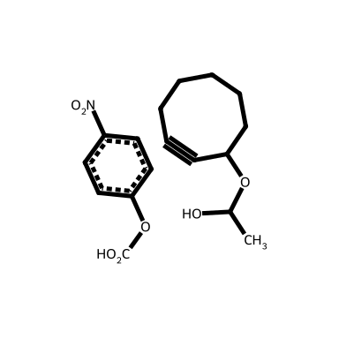 CC(O)OC1C#CCCCCC1.O=C(O)Oc1ccc([N+](=O)[O-])cc1